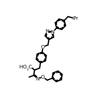 CC(=NOCc1ccccc1)C(Cc1ccc(OCc2cnn(-c3ccc(CC(C)C)cc3)c2)cc1)C(=O)O